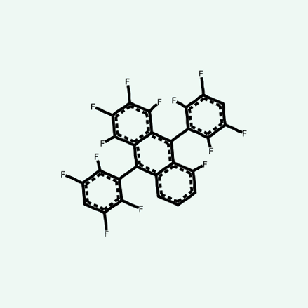 Fc1cc(F)c(F)c(-c2c3cccc(F)c3c(-c3c(F)c(F)cc(F)c3F)c3c(F)c(F)c(F)c(F)c23)c1F